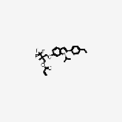 C=CC(=O)OCC(C)(COc1ccc2cc(-c3ccc(CC)cc3)n(C(C)C)c2c1)C(F)(F)F